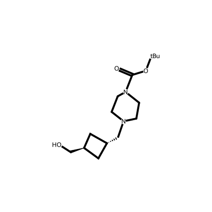 CC(C)(C)OC(=O)N1CCN(C[C@H]2C[C@H](CO)C2)CC1